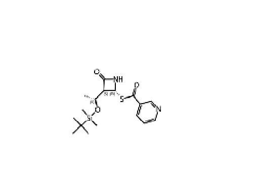 C[C@@H](O[Si](C)(C)C(C)(C)C)[C@H]1C(=O)N[C@@H]1SC(=O)c1cccnc1